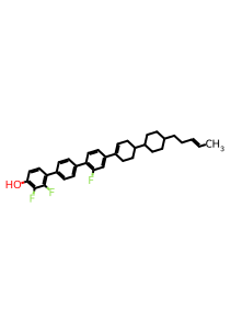 C/C=C/CCC1CCC(C2CC=C(c3ccc(-c4ccc(-c5ccc(O)c(F)c5F)cc4)c(F)c3)CC2)CC1